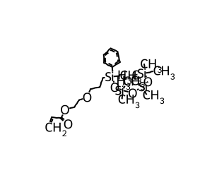 C=CC(=O)OCCOCCC[Si](C)(O[Si](C)(C)O[Si](C)(C)O[Si](C)(C)C)c1ccccc1